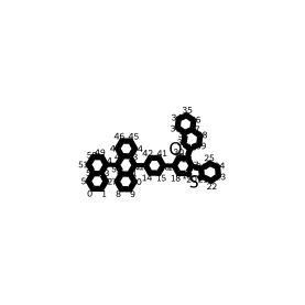 c1ccc2c(-c3c4ccccc4c(-c4ccc(-c5cc6sc7ccccc7c6c6c5oc5c7ccccc7ccc56)cc4)c4ccccc34)cccc2c1